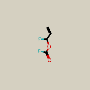 C=CC(F)OC(=O)F